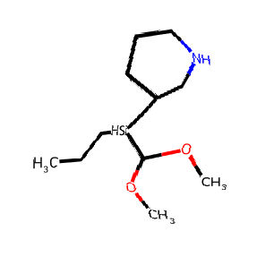 CCC[SiH](C1CCCNC1)C(OC)OC